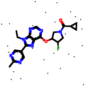 CCn1c(-c2cnc(C)nc2)nc2c(OC3CN(C(=O)C4CC4)CC3F)ncnc21